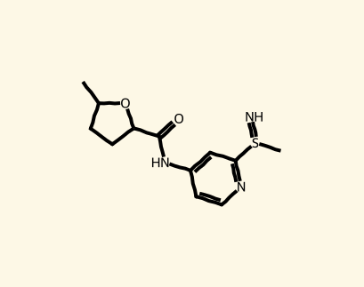 CC1CCC(C(=O)Nc2ccnc(S(C)=N)c2)O1